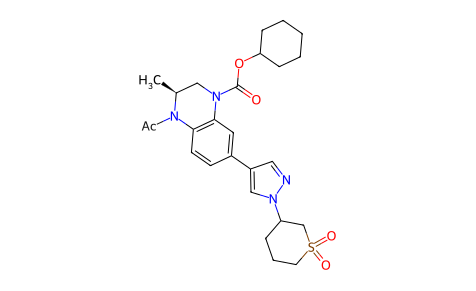 CC(=O)N1c2ccc(-c3cnn(C4CCCS(=O)(=O)C4)c3)cc2N(C(=O)OC2CCCCC2)C[C@@H]1C